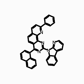 c1ccc(-c2ccc3ccc4c(-c5cccc6ccccc56)nc(-n5c6ccccc6c6cccnc65)nc4c3n2)cc1